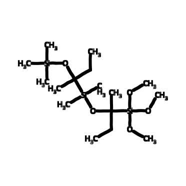 CCC(C)(O[Si](C)(C)C)[Si](C)(C)OC(C)(CC)[Si](OC)(OC)OC